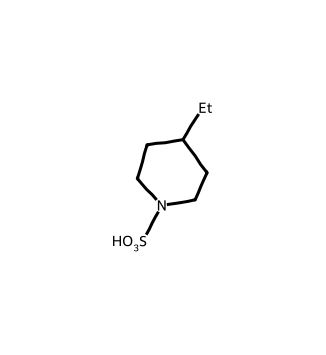 CCC1CCN(S(=O)(=O)O)CC1